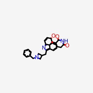 O=C1CCC(C2C(=O)C=CC3=NC(CC4CN(Cc5ccccc5)C4)=C4C=CC=CC342)C(=O)N1